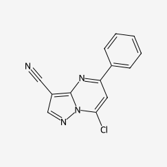 N#Cc1cnn2c(Cl)cc(-c3ccccc3)nc12